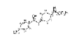 O=C(O)NC1CCN(CC(=O)c2ccc(Cl)cc2)CC1